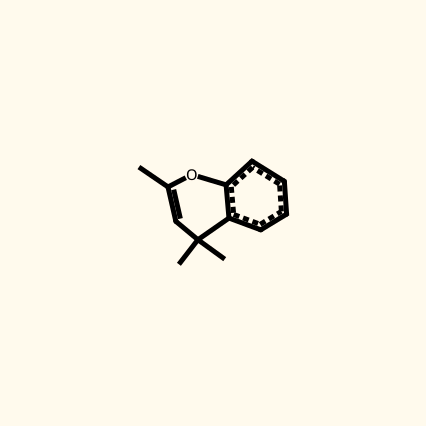 CC1=CC(C)(C)c2ccccc2O1